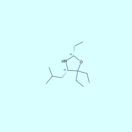 CC[C@H]1N[C@@H](CC(C)C)C(CC)(CC)O1